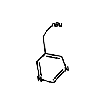 CCCCCc1cncnc1